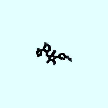 CC1C(=O)N(c2ccc(OC(F)(F)F)cc2)C(=O)N1Cc1ccncc1-n1cccn1